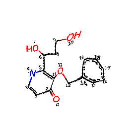 O=C1C=C[N]C(C(O)CCO)=C1OCc1ccccc1